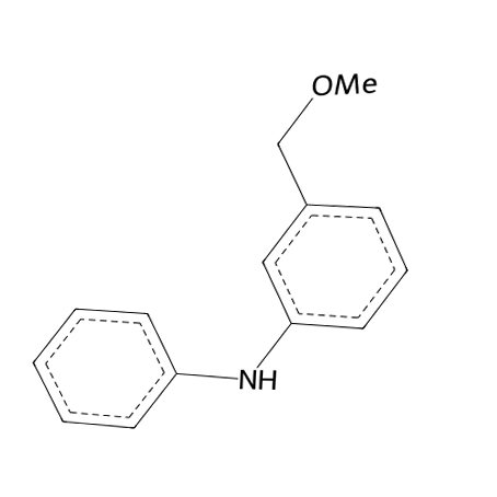 COCc1cccc(Nc2ccccc2)c1